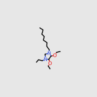 CCCCCCCCN1CN(CCC)C(OCC)C1OCC